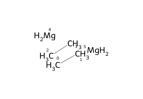 CC.CC.[MgH2].[MgH2]